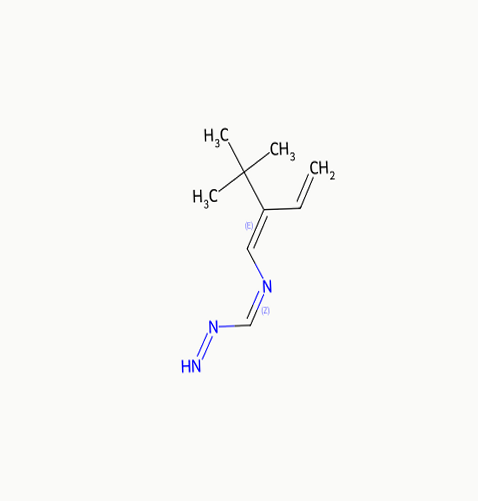 C=C/C(=C\N=C/N=N)C(C)(C)C